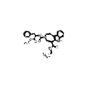 CCOC(=O)C1=CN(C(=O)NC(Cc2ccccc2)C(=O)OC)CCc2c1[nH]c1ccccc21